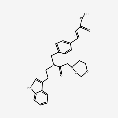 O=C(/C=C/c1ccc(CN(CCc2c[nH]c3ccccc23)C(=O)CN2CCOCC2)cc1)NO